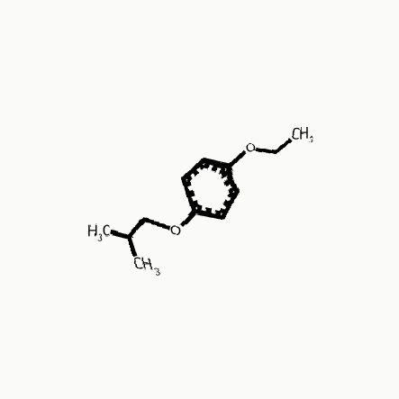 CCOc1ccc(OC[C](C)C)cc1